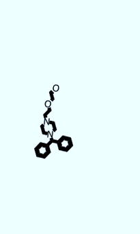 O=CCOCCN1CCN(C(c2ccccc2)c2ccccc2)CC1